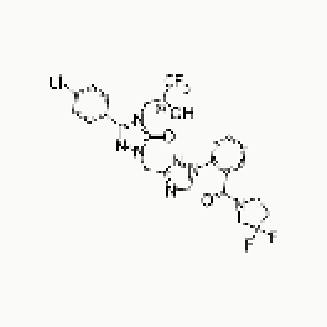 O=C(c1ccccc1-n1cnc(Cn2nc(-c3ccc(Cl)cc3)n(C[C@H](O)C(F)(F)F)c2=O)n1)N1CCC(F)(F)C1